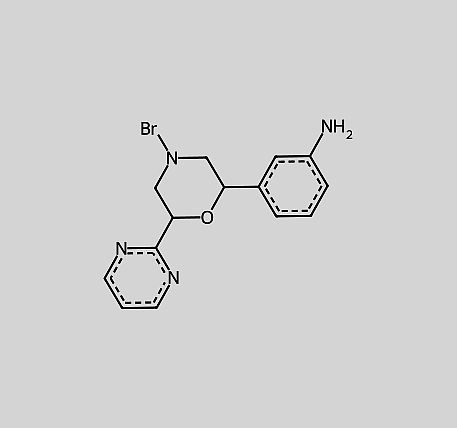 Nc1cccc(C2CN(Br)CC(c3ncccn3)O2)c1